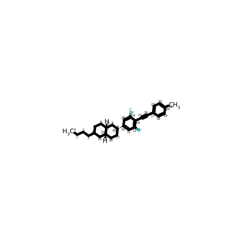 CCCCC1CC[C@@H]2C[C@H](c3cc(F)c(C#Cc4ccc(C)cc4)c(F)c3)CC[C@@H]2C1